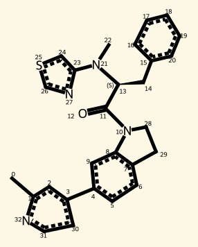 Cc1cc(-c2ccc3c(c2)N(C(=O)[C@H](Cc2ccccc2)N(C)c2cscn2)CC3)ccn1